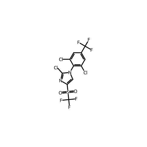 O=S(=O)(c1cn(-c2c(Cl)cc(C(F)(F)F)cc2Cl)c(Cl)n1)C(F)(F)F